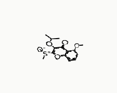 COc1cccc2oc([S+](C)[O-])c(OC(C)C)c(=O)c12